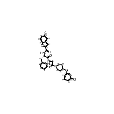 O=C(N[C@@H](Cc1ccccn1)C(=O)NCC(=O)N1CCC(Oc2cccc(Cl)n2)CC1)c1cc2cc(Cl)ccc2o1